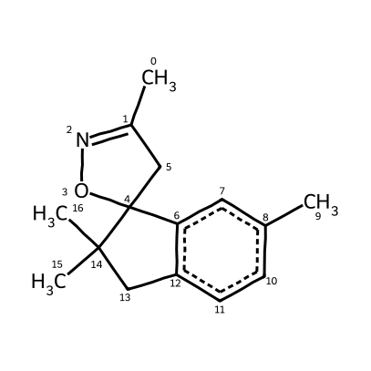 CC1=NOC2(C1)c1cc(C)ccc1CC2(C)C